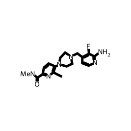 CNC(=O)c1ccc(N2CCN(Cc3ccnc(N)c3F)CC2)c(C)n1